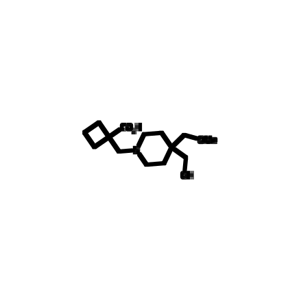 COCC1(CO)CCN(CC2(C(=O)O)CCC2)CC1